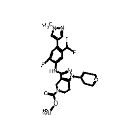 Cn1cc(-c2cc(F)c(Nc3nn(C4CCOCC4)c4c3CN(C(=O)OC(C)(C)C)CC4)cc2C(F)F)cn1